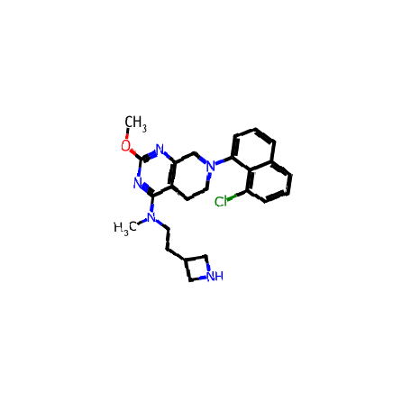 COc1nc2c(c(N(C)CCC3CNC3)n1)CCN(c1cccc3cccc(Cl)c13)C2